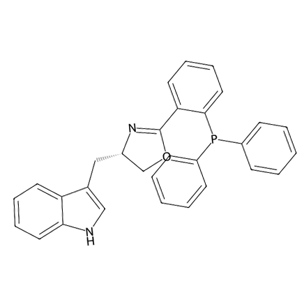 c1ccc(P(c2ccccc2)c2ccccc2C2=N[C@@H](Cc3c[nH]c4ccccc34)CO2)cc1